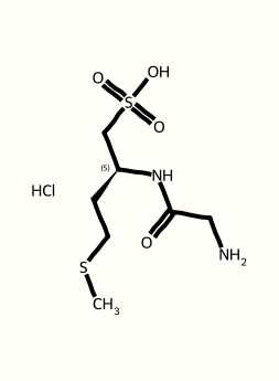 CSCC[C@@H](CS(=O)(=O)O)NC(=O)CN.Cl